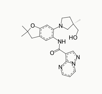 CC1(C)Cc2cc(NC(=O)c3cnn4cccnc34)c(N3CC[C@@](C)(CO)C3)cc2O1